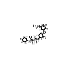 Cc1cc(NC(=S)NC(=O)Cc2ccccc2)ccc1Oc1ccnc(N)c1